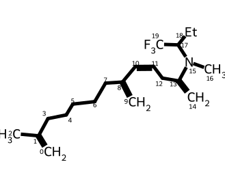 C=C(C)CCCCCC(=C)/C=C\CC(=C)N(C)C(CC)C(F)(F)F